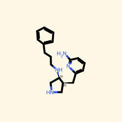 Nc1cccc(C[C@H]2CNC[C@H]2NCCCc2ccccc2)n1